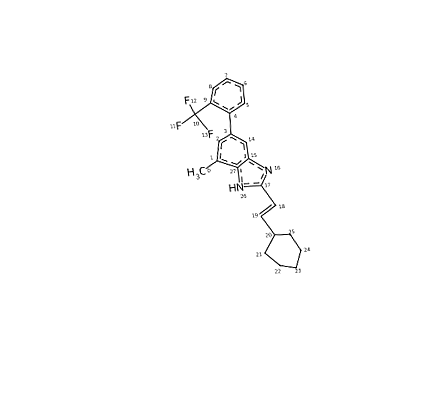 Cc1cc(-c2ccccc2C(F)(F)F)cc2nc(/C=C/C3CCCCC3)[nH]c12